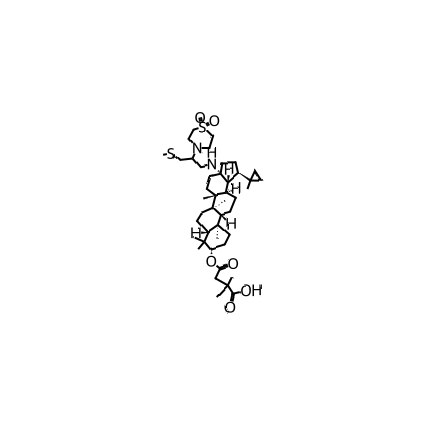 CSCC(CN[C@]12CC[C@@H](C3(C)CC3)[C@@H]1[C@H]1CC[C@@H]3[C@@]4(C)CC[C@H](OC(=O)CC(C)(C)C(=O)O)C(C)(C)[C@@H]4CC[C@@]3(C)[C@]1(C)CC2)N1CCS(=O)(=O)CC1